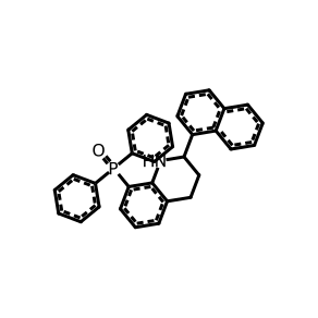 O=P(c1ccccc1)(c1ccccc1)c1cccc2c1NC(c1cccc3ccccc13)CC2